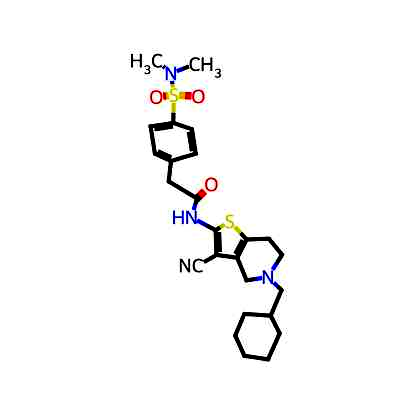 CN(C)S(=O)(=O)c1ccc(CC(=O)Nc2sc3c(c2C#N)CN(CC2CCCCC2)CC3)cc1